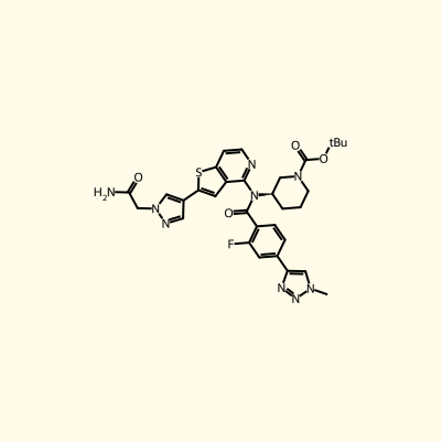 Cn1cc(-c2ccc(C(=O)N(c3nccc4sc(-c5cnn(CC(N)=O)c5)cc34)[C@@H]3CCCN(C(=O)OC(C)(C)C)C3)c(F)c2)nn1